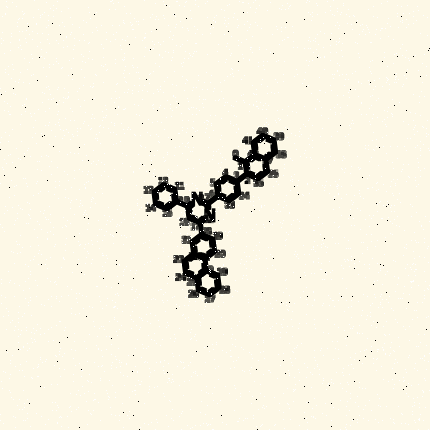 Cc1c(-c2ccc(-c3nc(-c4ccccc4)cc(-c4ccc5c(ccc6ccccc65)c4)n3)cc2)ccc2ccccc12